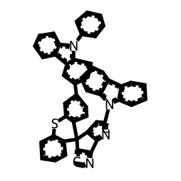 c1ccc(-n2c3ccccc3c3cc(-c4ccc5c(c4)Sc4ccccc4C54c5cccnc5-c5ncc(-n6c7ccccc7c7ccccc76)cc54)ccc32)cc1